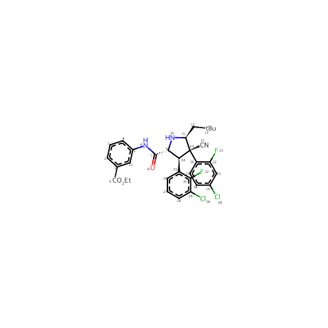 CCOC(=O)c1cccc(NC(=O)[C@@H]2N[C@@H](CC(C)(C)C)[C@](C#N)(c3ccc(Cl)cc3F)[C@H]2c2cccc(Cl)c2F)c1